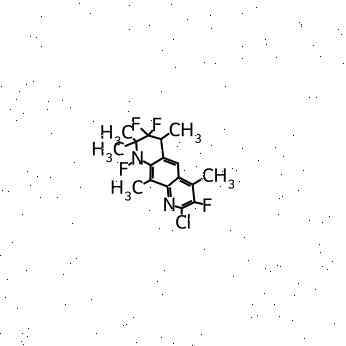 Cc1c(F)c(Cl)nc2c(C)c3c(cc12)C(C)C(F)(F)C(C)(C)N3F